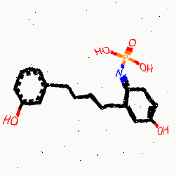 O=P(O)(O)N=C1CC=C(O)C=C1CCCCc1cccc(O)c1